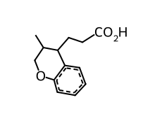 CC1COc2ccccc2C1CCC(=O)O